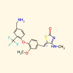 CNC1=NC(=O)S/C1=C\c1ccc(Oc2ccc(CN)cc2C(F)(F)F)c(OC)c1